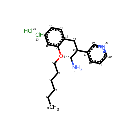 CCCCCCOc1ccccc1CC(CN)c1cccnc1.Cl.Cl